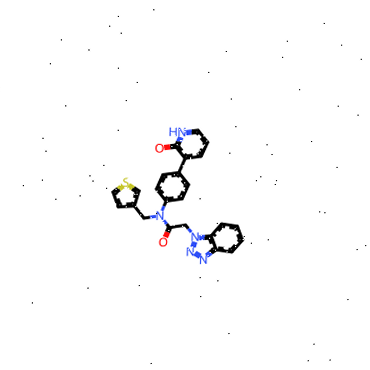 O=C(Cn1nnc2ccccc21)N(Cc1ccsc1)c1ccc(-c2ccc[nH]c2=O)cc1